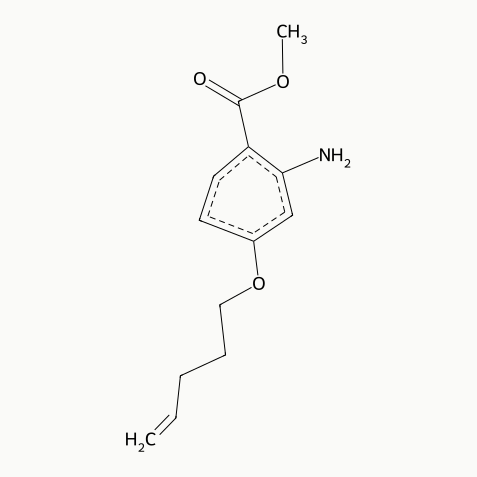 C=CCCCOc1ccc(C(=O)OC)c(N)c1